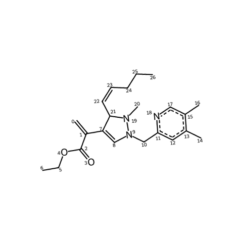 C=C(C(=O)OCC)C1=CN(Cc2cc(C)c(C)cn2)N(C)C1/C=C\CCC